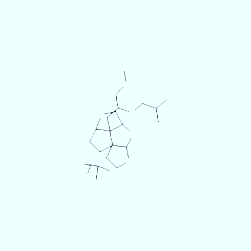 COCC(CC12C3C[C@@H](C(C)(C)C)C14C(OC[C@@H]4OC)OC2CO3)OCC(C)C